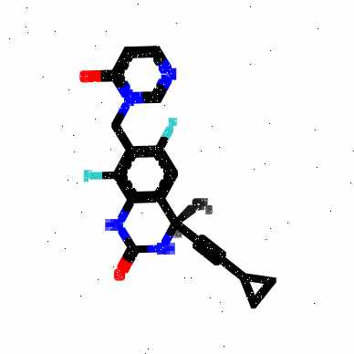 O=C1Nc2c(cc(F)c(Cn3cnccc3=O)c2F)[C@@](C#CC2CC2)(C(F)(F)F)N1